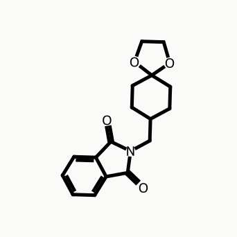 O=C1c2ccccc2C(=O)N1CC1CCC2(CC1)OCCO2